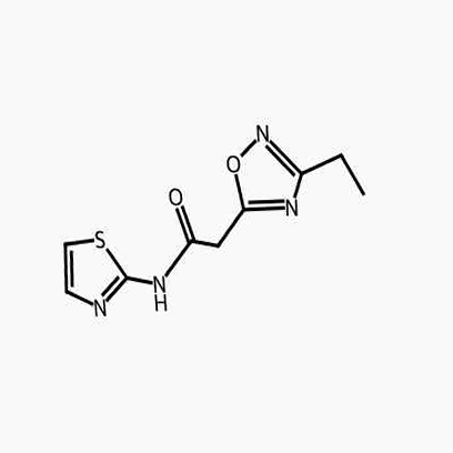 CCc1noc(CC(=O)Nc2nccs2)n1